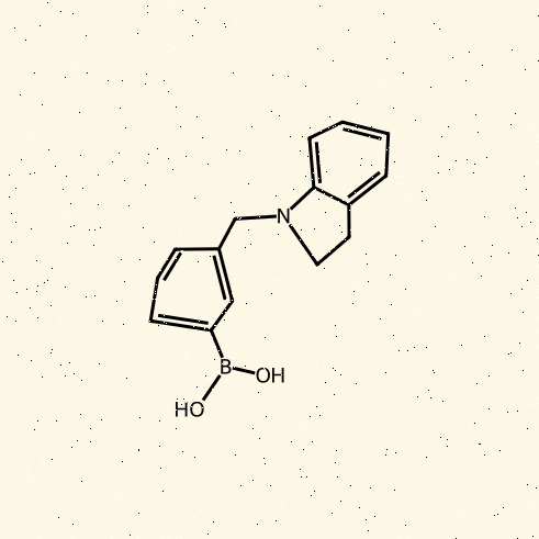 OB(O)c1cccc(CN2CCc3ccccc32)c1